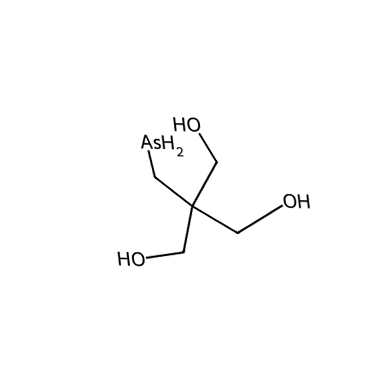 OCC(CO)(CO)C[AsH2]